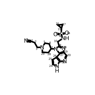 N#CCCN1CCC(n2c(CNS(=O)(=O)C3CC3)nc3cnc4[nH]ccc4c32)CC1